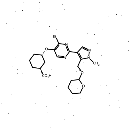 CCc1nc(-c2cnn(C)c2COC2CCCCO2)ncc1O[C@H]1CCC[C@H](C(=O)O)C1